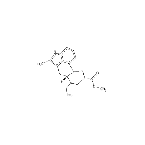 CCN1C[C@@H](C(=O)OC)CC2c3cccc4[nH]c(C)c(c34)C[C@H]21